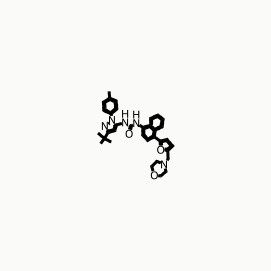 Cc1ccc(-n2nc(C(C)(C)C)cc2NC(=O)Nc2ccc(-c3ccc(CN4CCOCC4)o3)c3ccccc23)cc1